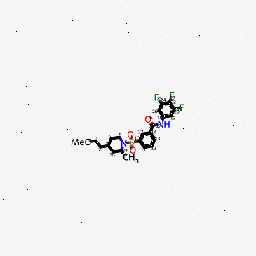 COCCC1CCN(S(=O)(=O)c2cccc(C(=O)Nc3cc(F)c(F)c(F)c3)c2)C(C)C1